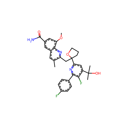 COc1cc(C(N)=O)cc2cc(C)c(CC3(c4cc(C(C)(C)O)c(F)c(-c5ccc(F)cc5)n4)CCCO3)nc12